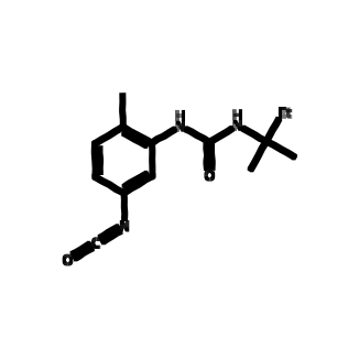 CCC(C)(C)NC(=O)Nc1cc(N=C=O)ccc1C